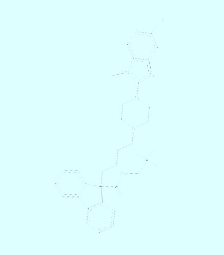 Cn1c(N2CCN(CCCCC3(C(=O)NCC(F)(F)F)c4ccccc4-c4ccccc43)CC2)nc2cc(Cl)ccc21